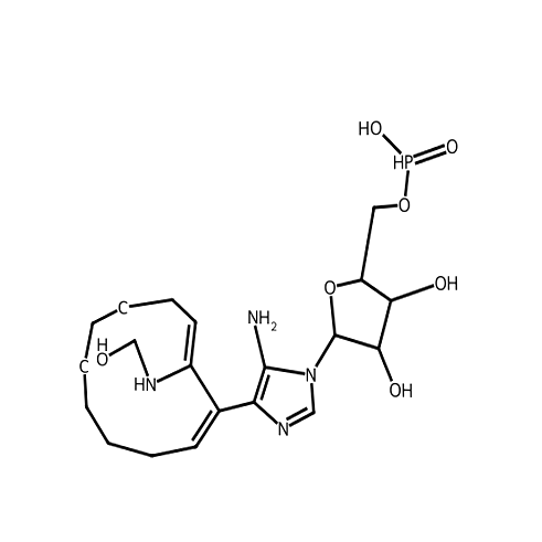 Nc1c(C2=C/CCCCCCC\C=C\2NCO)ncn1C1OC(CO[PH](=O)O)C(O)C1O